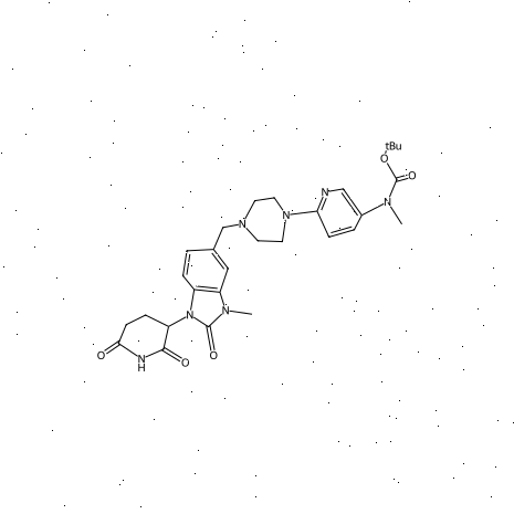 CN(C(=O)OC(C)(C)C)c1ccc(N2CCN(Cc3ccc4c(c3)n(C)c(=O)n4C3CCC(=O)NC3=O)CC2)nc1